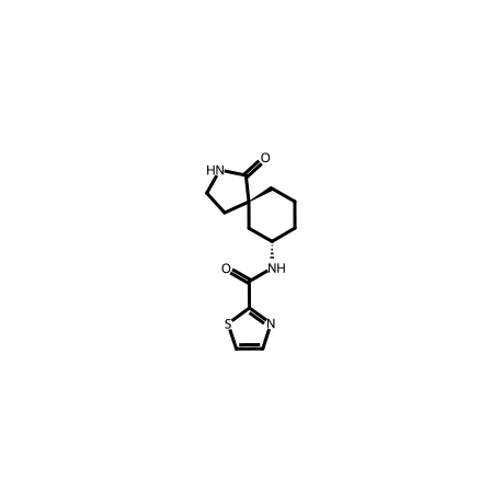 O=C(N[C@H]1CCC[C@]2(CCNC2=O)C1)c1nccs1